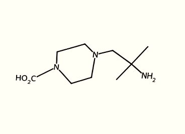 CC(C)(N)CN1CCN(C(=O)O)CC1